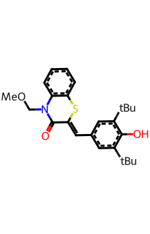 COCN1C(=O)/C(=C/c2cc(C(C)(C)C)c(O)c(C(C)(C)C)c2)Sc2ccccc21